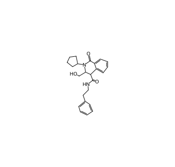 O=C(NCCc1ccccc1)C1c2ccccc2C(=O)N(C2CCCC2)C1CO